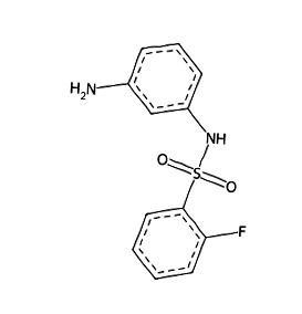 Nc1cccc(NS(=O)(=O)c2ccccc2F)c1